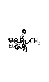 C=CCC1C[C@@]2(CC(OCc3ccccc3)CC(COCc3ccccc3)O2)c2cc(Cc3ccc(CC)cc3)c(Cl)cc21